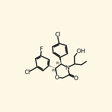 CCC(CO)N1C(=O)CO[C@H](c2cc(F)cc(Cl)c2)[C@H]1c1ccc(Cl)cc1